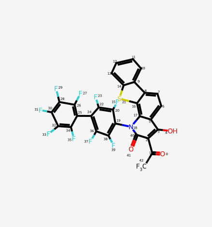 O=C(c1c(O)c2ccc3c4ccccc4sc3c2n(-c2c(F)c(F)c(-c3c(F)c(F)c(F)c(F)c3F)c(F)c2F)c1=O)C(F)(F)F